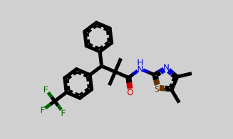 Cc1nc(NC(=O)C(C)(C)C(c2ccccc2)c2ccc(C(F)(F)F)cc2)sc1C